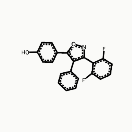 Oc1ccc(-c2onc(-c3c(F)cccc3F)c2-c2ccccc2)cc1